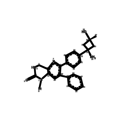 CCN1C(=O)NCc2nc(-c3ccc([C@]4(N)C[C@](C)(O)C4)cc3)c(-c3ccccc3)cc21